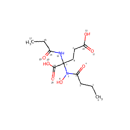 CCCC(=O)N(O)C(CCC(=O)O)(NC(=O)CC)C(=O)O